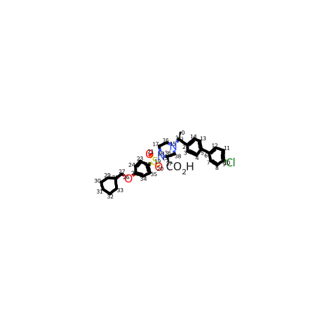 C[C@@H](c1ccc(-c2ccc(Cl)cc2)cc1)N1CCN(S(=O)(=O)c2ccc(OCC3CCCCC3)cc2)[C@H](C(=O)O)C1